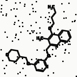 CCCCOc1c(C)c(COc2cc(OCC3CCOCC3)ccn2)nc2ccccc12